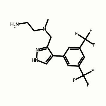 CN(CCN)Cc1n[nH]cc1-c1cc(C(F)(F)F)cc(C(F)(F)F)c1